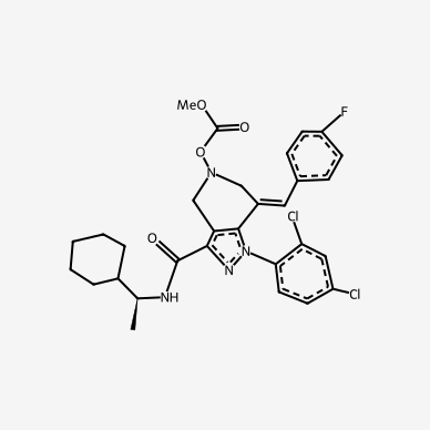 COC(=O)ON1C/C(=C\c2ccc(F)cc2)c2c(c(C(=O)N[C@@H](C)C3CCCCC3)nn2-c2ccc(Cl)cc2Cl)C1